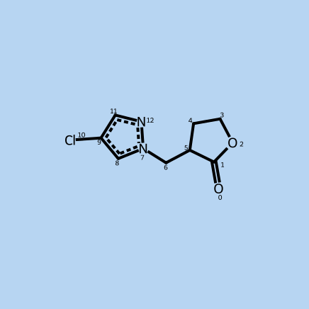 O=C1OCCC1Cn1cc(Cl)cn1